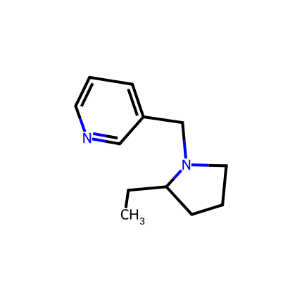 CCC1CCCN1Cc1cccnc1